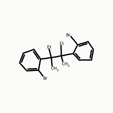 CCC(C)(c1ccccc1Br)C(C)(CC)c1ccccc1Br